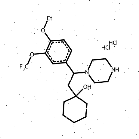 CCOc1ccc(C(CC2(O)CCCCC2)N2CCNCC2)cc1OC(F)(F)F.Cl.Cl